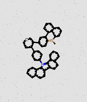 C[SH]1c2ccc(-c3ccccc3-c3ccc(-n4c5c6ccccc6ccc5c5ccc6ccccc6c54)cc3)cc2-c2cccc3cccc1c23